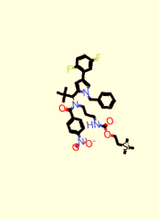 CC(C)(C)[C@H](c1cc(-c2cc(F)ccc2F)cn1Cc1ccccc1)N(CCCNC(=O)OCC[Si](C)(C)C)C(=O)c1ccc([N+](=O)[O-])cc1